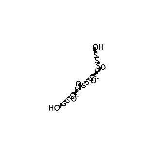 O=C(CSCC[S+]([O-])CSCSC(=O)CSCC[S+]([O-])CSCSCCO)SCSCSCCO